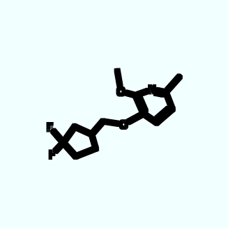 COc1nc(C)ccc1OCC1CCC(F)(F)C1